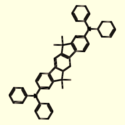 CC1(C)C2=C(CC3C(=C2)c2ccc(N(C4=CCCC=C4)c4ccccc4)cc2C3(C)C)c2ccc(N(C3=CCCC=C3)C3CC=CCC3)cc21